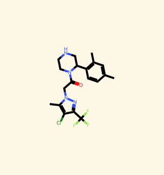 Cc1ccc(C2CNCCN2C(=O)Cn2nc(C(F)(F)F)c(Cl)c2C)c(C)c1